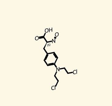 O=N[C@@H](Cc1ccc(N(CCCl)CCCl)cc1)C(=O)O